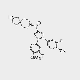 COc1ccc(-c2sc(C(=O)N3CCC4(CCNC4)CC3)cc2-c2ccc(C#N)c(F)c2)cc1F